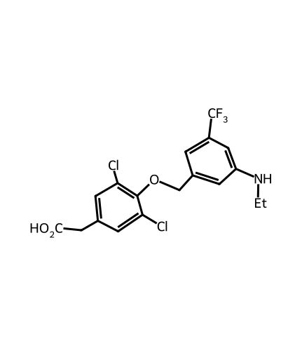 CCNc1cc(COc2c(Cl)cc(CC(=O)O)cc2Cl)cc(C(F)(F)F)c1